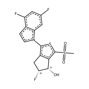 CS(=O)(=O)c1sc(-n2ccc3c(F)cc(F)cc32)c2c1[C@H](O)[C@H](F)C2